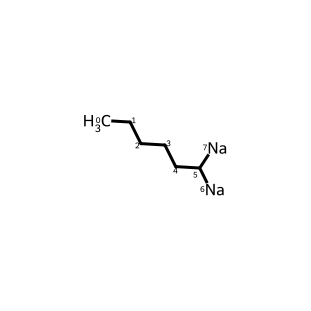 CCCCC[CH]([Na])[Na]